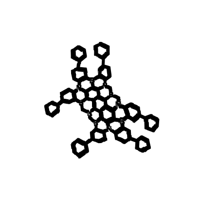 c1ccc(-c2ccc3c(c2)B2c4cc(-c5ccccc5)ccc4N4c5ccc(-c6ccccc6)cc5B5CN6CB7c8cc(-c9ccccc9)ccc8N8c9ccc(-c%10ccccc%10)cc9B9c%10cc(-c%11ccccc%11)ccc%10N%10CB%11CN3c3c2c4c5c2c6c4c7c8c9c%10c4c%11c32)cc1